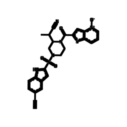 C#Cc1ccc2[nH]c(S(=O)(=O)N3CCN(C(=O)c4cc5c(ccc[n+]5[O-])s4)C(C(C)C#N)C3)cc2c1